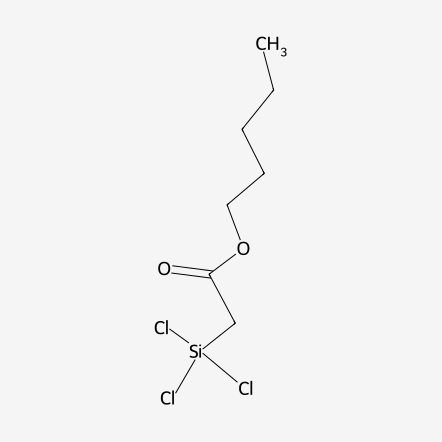 CCCCCOC(=O)C[Si](Cl)(Cl)Cl